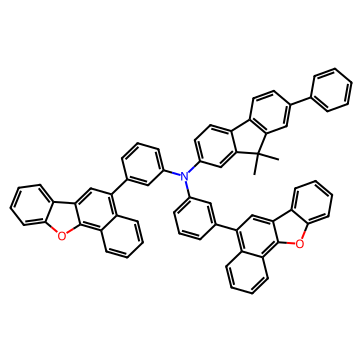 CC1(C)c2cc(-c3ccccc3)ccc2-c2ccc(N(c3cccc(-c4cc5c6ccccc6oc5c5ccccc45)c3)c3cccc(-c4cc5c6ccccc6oc5c5ccccc45)c3)cc21